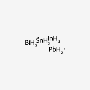 [BiH3].[InH3].[PbH2].[SnH2]